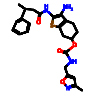 Cc1cc(CNC(=O)OC2CCc3c(sc(NC(=O)CC(C)c4ccccc4)c3N)C2)on1